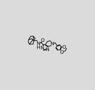 O=C(NCC12CC3CC(CC(C3)C1)C2)c1ncnc2c1CCN(Cc1ccc3c(c1)OCCO3)C2